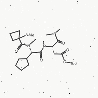 CNC1(C(=O)N(C)[C@H](C(=O)N(C)[C@@H](CC(=O)OC(C)(C)C)C(=O)N(C)C)C2CCCC2)CCC1